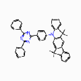 CC1(C)c2ccccc2-c2cc3c(cc21)N(c1ccc(-c2nc(-c4ccccc4)nc(-c4ccccc4)n2)cc1)c1ccccc1C3(C)C